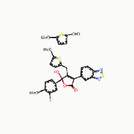 COc1ccc(C=O)s1.COc1ccc(CC2=C(c3ccc4nsnc4c3)C(=O)OC2(O)c2ccc(OC)c(Cl)c2)s1